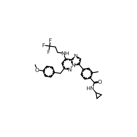 COc1ccc(Cc2cc(NCCC(F)(F)F)c3ncc(-c4ccc(C(=O)NC5CC5)c(C)c4)n3n2)cc1